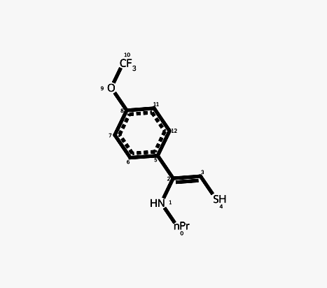 CCCN/C(=C\S)c1ccc(OC(F)(F)F)cc1